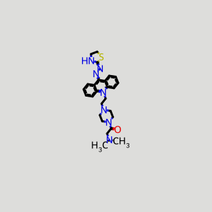 CN(C)CC(=O)N1CCN(CCn2c3ccccc3c(=NN=C3NCCS3)c3ccccc32)CC1